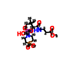 COC(=O)CCNC(=O)[C@@H]1O[PH](O)(N2CCS(=O)(=O)CC2)OCC1(C)C